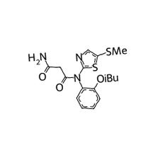 CSc1cnc(N(C(=O)CC(N)=O)c2ccccc2OCC(C)C)s1